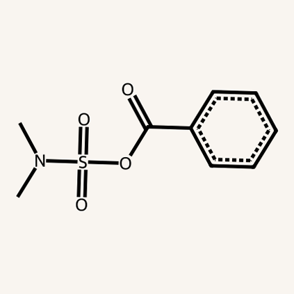 CN(C)S(=O)(=O)OC(=O)c1ccccc1